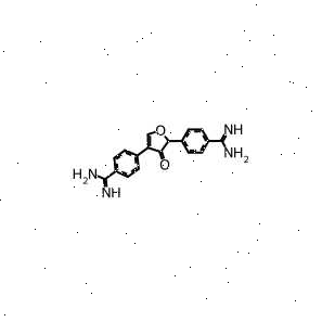 N=C(N)c1ccc(C2=COC(c3ccc(C(=N)N)cc3)C2=O)cc1